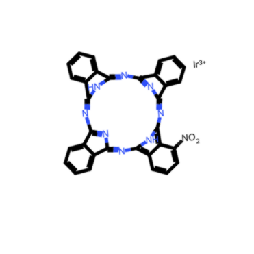 O=[N+]([O-])c1cccc2c3nc4nc(nc5[nH]c(nc6nc(nc([nH]3)c12)-c1ccccc1-6)c1ccccc51)-c1ccccc1-4.[Ir+3]